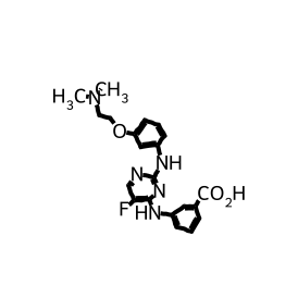 CN(C)CCOc1cccc(Nc2ncc(F)c(Nc3cccc(C(=O)O)c3)n2)c1